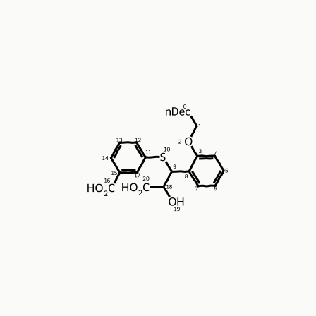 CCCCCCCCCCCOc1ccccc1C(Sc1cccc(C(=O)O)c1)C(O)C(=O)O